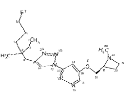 CCC(C)(CCCF)Cc1cn(-c2cncc(OC[C@@H]3CCN3C)c2)nn1